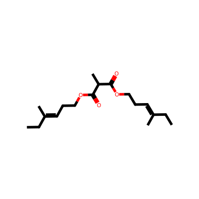 CC/C(C)=C/CCOC(=O)C(C)C(=O)OCC/C=C(\C)CC